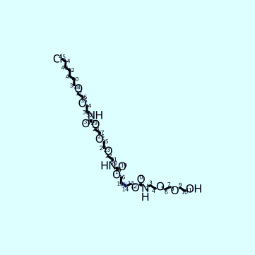 O=C(NCCOCCOCCO)OC/C=C\COC(=O)NCCOCCOCCOC(=O)NCCOCCOCCCCCCCl